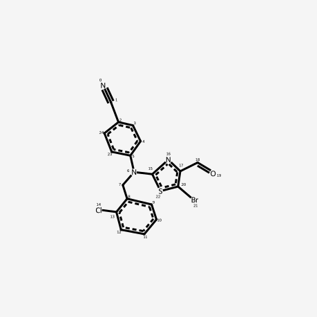 N#Cc1ccc(N(Cc2ccccc2Cl)c2nc(C=O)c(Br)s2)cc1